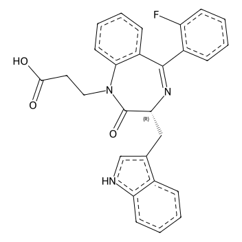 O=C(O)CCN1C(=O)[C@@H](Cc2c[nH]c3ccccc23)N=C(c2ccccc2F)c2ccccc21